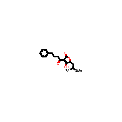 CSC(C)CC1OC(=O)C(C(=O)CCCc2ccccc2)=C1O